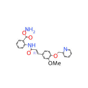 COc1cc(/C=C/C(=O)Nc2ccccc2C(=O)ON)ccc1OCc1ccccn1